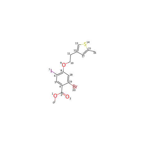 COC(=O)c1cc(I)c(OCCc2csc(C)c2)cc1Br